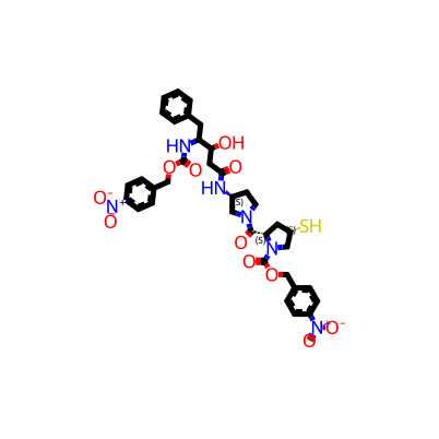 O=C(CC(O)C(Cc1ccccc1)NC(=O)OCc1ccc([N+](=O)[O-])cc1)N[C@H]1CCN(C(=O)[C@@H]2C[C@H](S)CN2C(=O)OCc2ccc([N+](=O)[O-])cc2)C1